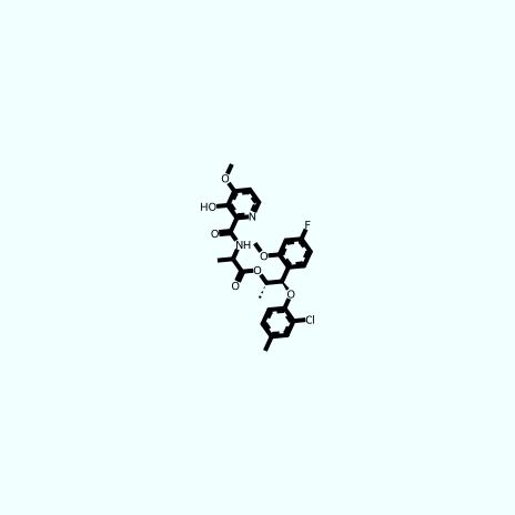 COc1cc(F)ccc1[C@@H](Oc1ccc(C)cc1Cl)[C@H](C)OC(=O)C(C)NC(=O)c1nccc(OC)c1O